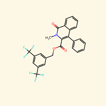 Cn1c(C(=O)OCc2cc(C(F)(F)F)cc(C(F)(F)F)c2)c(-c2ccccc2)c2ccccc2c1=O